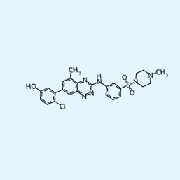 Cc1cc(-c2cc(O)ccc2Cl)cc2nnc(Nc3cccc(S(=O)(=O)N4CCN(C)CC4)c3)nc12